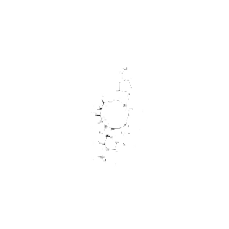 CO[C@]1(C)C[C@@H](C)CN(C)[C@H](CN2CCN(CC(C)C)CC2)COC(=O)C(C)(C)C(=O)[C@H](C)[C@H]1O[C@@H]1O[C@H](C)C[C@H](N(C)C)[C@H]1O